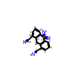 N#Cc1cccc(C#N)c1[CH]c1c(C#N)cccc1C#N